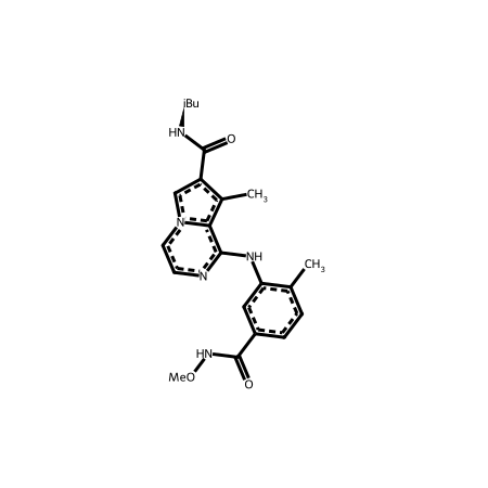 CC[C@H](C)NC(=O)c1cn2ccnc(Nc3cc(C(=O)NOC)ccc3C)c2c1C